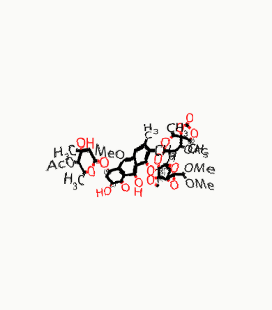 COc1c2c(c(O)c3c(O[C@]4(OC5CC(OC(C)=O)C6(OC(=O)O[C@@H]6C)C(C)O5)[C@@H]5CC6(OC6(C(OC)OC)O5)[C@]45CO5)c(C)c(C)cc13)C(=O)[C@@H](O)C[C@@H]2OC1CC(C)(O)C(OC(C)=O)C(C)O1